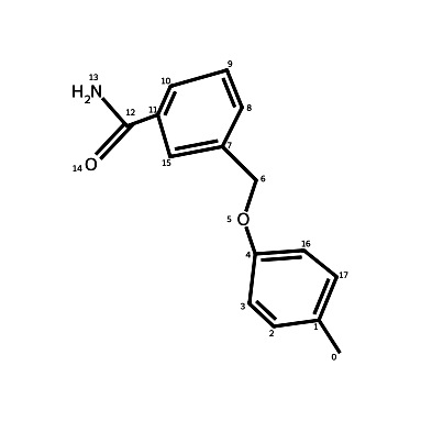 Cc1ccc(OCc2cccc(C(N)=O)c2)cc1